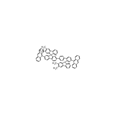 Cc1cc2c(cc1C)[C@]1(c3cc(-c4ccc5c(c4)[C@@]4(c6cc(-c7c8ccccc8cc8ccccc78)ccc6-5)c5cc(C)c(C)cc5-c5cccnc54)ccc3-c3ccc(-c4c5ccccc5cc5ccccc45)cc31)c1ncccc1-2